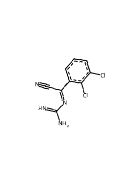 N#CC(=NC(=N)N)c1cccc(Cl)c1Cl